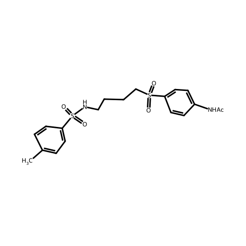 CC(=O)Nc1ccc(S(=O)(=O)CCCCNS(=O)(=O)c2ccc(C)cc2)cc1